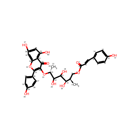 C[C@H](COC(=O)/C=C/c1ccc(O)cc1)[C@@H](O)C(O)C(O)[C@@H](C)Oc1c(-c2ccc(O)cc2)oc2cc(O)cc(O)c2c1=O